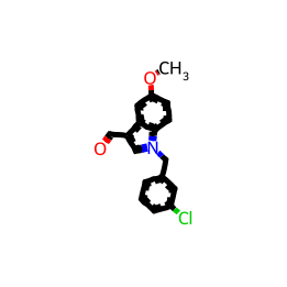 COc1ccc2c(c1)c(C=O)cn2Cc1cccc(Cl)c1